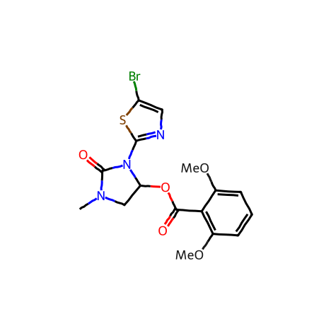 COc1cccc(OC)c1C(=O)OC1CN(C)C(=O)N1c1ncc(Br)s1